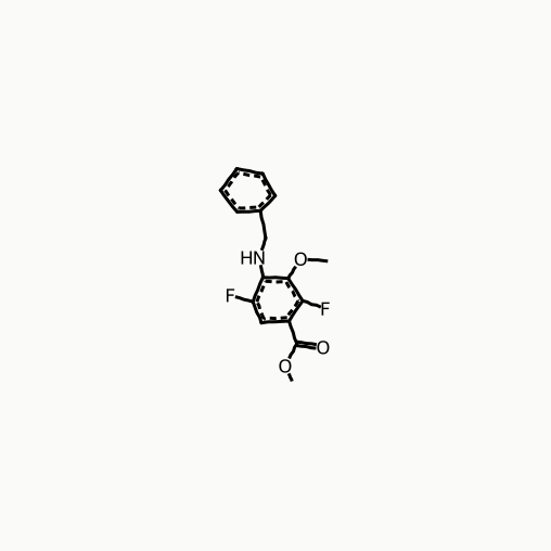 COC(=O)c1cc(F)c(NCc2ccccc2)c(OC)c1F